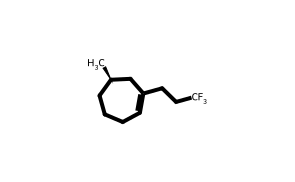 C[C@@H]1CCCC=C(CCC(F)(F)F)C1